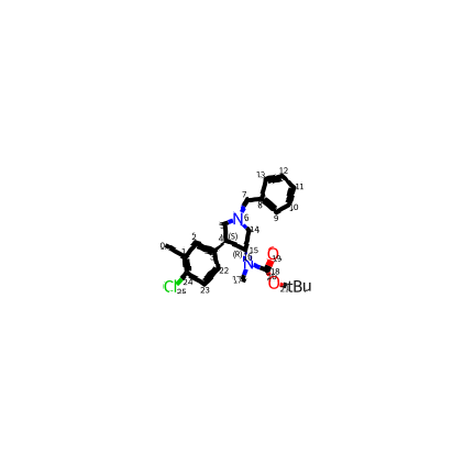 Cc1cc([C@H]2CN(Cc3ccccc3)C[C@@H]2N(C)C(=O)OC(C)(C)C)ccc1Cl